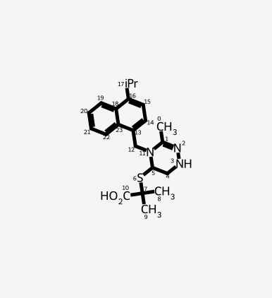 CC1=NNCC(SC(C)(C)C(=O)O)N1Cc1ccc(C(C)C)c2ccccc12